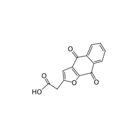 O=C(O)Cc1cc2c(o1)C(=O)c1ccccc1C2=O